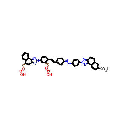 O=S(=O)(O)c1ccc2c(ccc3nn(-c4ccc(N=Nc5ccc(C=Cc6ccc(-n7nc8cc(SOOO)c9ccccc9c8n7)cc6SOOO)cc5)cc4)nc32)c1